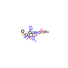 CC(C)(C)OC(=O)N1C[C@H](NC(=O)c2sc3c(N)ccc4c3c2C(N)C(=O)C4(N)c2ccc(Oc3ccccc3)cc2)[C@@H](F)C1